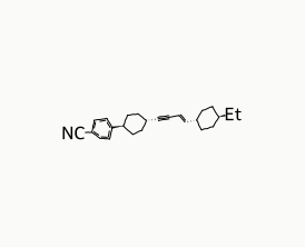 CC[C@H]1CC[C@H](C=CC#C[C@H]2CC[C@H](c3ccc(C#N)cc3)CC2)CC1